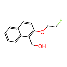 OCc1c(OCCF)ccc2ccccc12